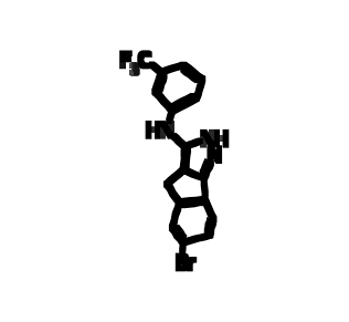 FC(F)(F)c1cccc(Nc2[nH]nc3c2Cc2cc(Br)ccc2-3)c1